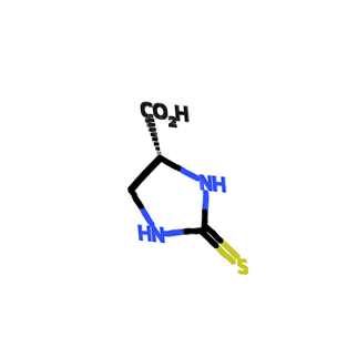 O=C(O)[C@H]1CNC(=S)N1